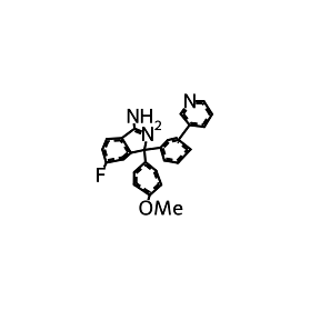 COc1ccc(C2(c3cccc(-c4cccnc4)c3)N=C(N)c3ccc(F)cc32)cc1